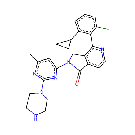 Cc1cc(N2Cc3c(ccnc3-c3c(F)cccc3C3CC3)C2=O)nc(N2CCNCC2)n1